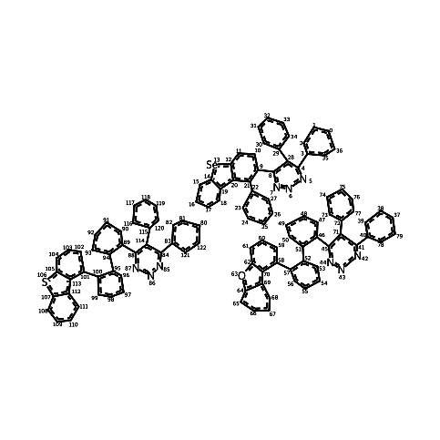 c1ccc(-c2nnnc(-c3ccc4[se]c5ccccc5c4c3-c3ccccc3)c2-c2ccccc2)cc1.c1ccc(-c2nnnc(-c3ccccc3-c3ccccc3-c3cccc4oc5ccccc5c34)c2-c2ccccc2)cc1.c1ccc(-c2nnnc(-c3ccccc3-c3ccccc3-c3cccc4sc5ccccc5c34)c2-c2ccccc2)cc1